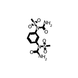 CS(=O)(=O)N(C(N)=O)c1cccc(N(C(N)=O)S(C)(=O)=O)c1